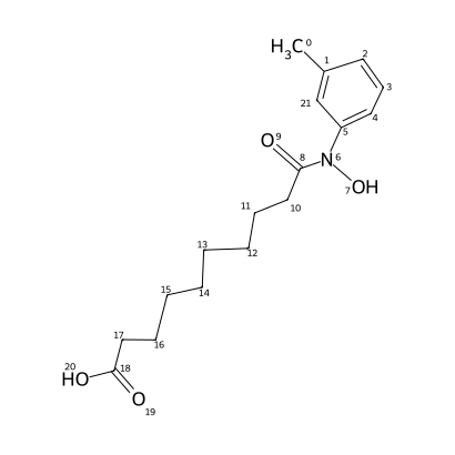 Cc1cccc(N(O)C(=O)CCCCCCCCC(=O)O)c1